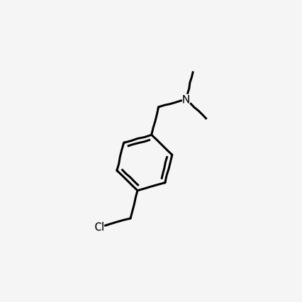 CN(C)Cc1ccc(CCl)cc1